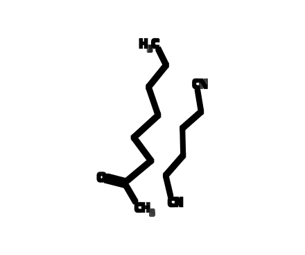 CCCCCCC(C)=O.N#CCCCCC#N